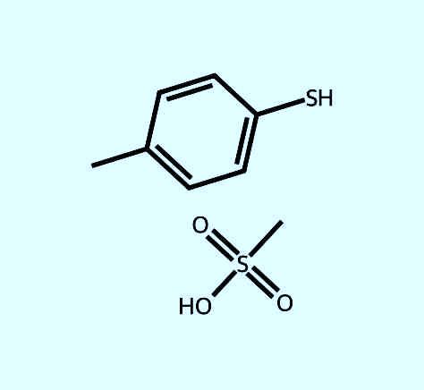 CS(=O)(=O)O.Cc1ccc(S)cc1